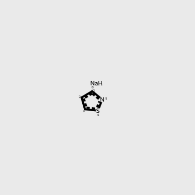 [NaH].[c]1ccsn1